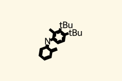 C=C1C=CC=C/C1=N/c1ccc(C(C)(C)C)c(C(C)(C)C)c1C